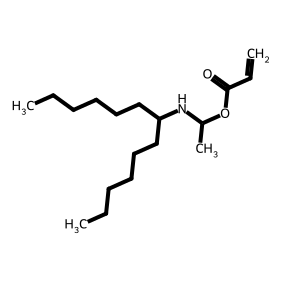 C=CC(=O)OC(C)NC(CCCCCC)CCCCCC